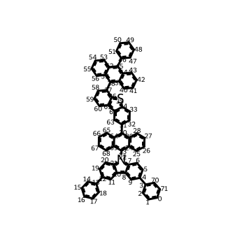 c1ccc(-c2ccc3c(c2)c2cc(-c4ccccc4)ccc2n3-c2c3ccccc3c(-c3ccc4sc5c(-c6c7ccccc7c(-c7ccccc7)c7ccccc67)cccc5c4c3)c3ccccc23)cc1